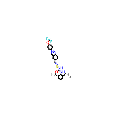 Cc1cccc(C)c1NC(=O)NS/N=C/c1ccc2nn(-c3ccc(OC(F)(F)F)cc3)cc2c1